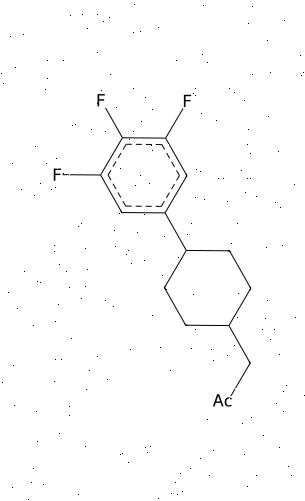 CC(=O)CC1CCC(c2cc(F)c(F)c(F)c2)CC1